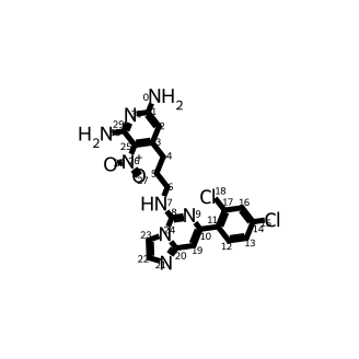 Nc1cc(CCCNc2nc(-c3ccc(Cl)cc3Cl)cc3nccn23)c([N+](=O)[O-])c(N)n1